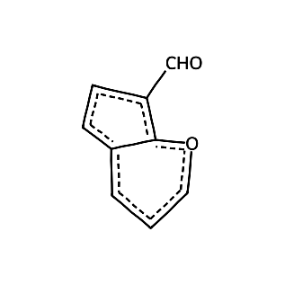 O=Cc1ccc2cccoc1-2